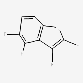 Fc1ccc2oc(F)c(F)c2c1F